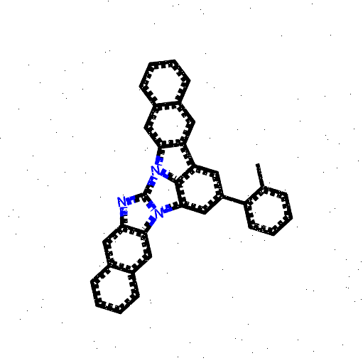 Cc1ccccc1-c1cc2c3cc4ccccc4cc3n3c2c(c1)n1c2cc4ccccc4cc2nc13